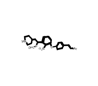 CC(=O)CCc1ccc(Oc2cccc(C(CC3CCNCC3)OC=O)c2[N+](=O)[O-])cc1